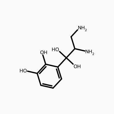 NCC(N)C(O)(O)c1cccc(O)c1O